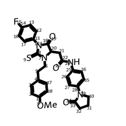 COc1ccc(CCN2C(=S)N(c3ccc(F)cc3)C(=O)C2CC(=O)Nc2ccc(N3CCCC3=O)cc2)cc1